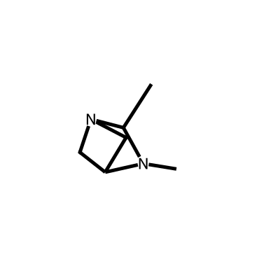 CC1N2CC(C2)N1C